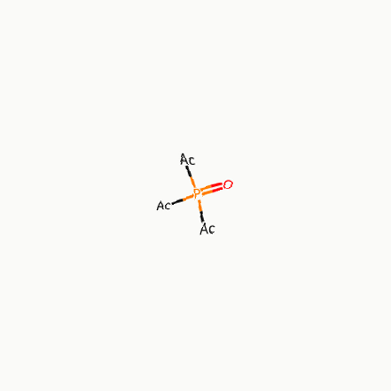 CC(=O)P(=O)(C(C)=O)C(C)=O